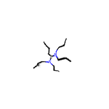 CCCB(N(CCC)CCC)N(CCC)CCC